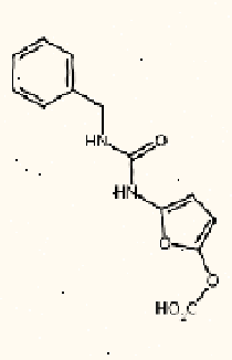 O=C(NCc1ccccc1)Nc1ccc(OC(=O)O)o1